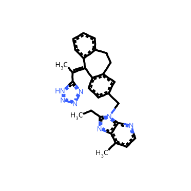 CCc1nc2c(C)ccnc2n1Cc1ccc2c(c1)CCc1ccccc1C2=C(C)c1nnn[nH]1